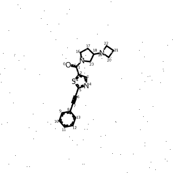 O=C(c1cnc(C#Cc2ccccc2)s1)N1CCC(N2CCC2)C1